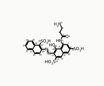 NCCC(=O)Nc1cc(S(=O)(=O)O)cc2cc(S(=O)(=O)O)c(N=Nc3ccc4ccccc4c3S(=O)(=O)O)c(O)c12